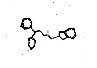 [c]1cccc2c1CC(CNCCC(c1ccccc1)c1ccccc1)C2